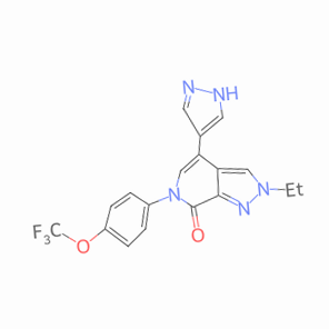 CCn1cc2c(-c3cn[nH]c3)cn(-c3ccc(OC(F)(F)F)cc3)c(=O)c2n1